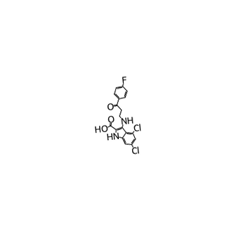 O=C(CCNc1c(C(=O)O)[nH]c2cc(Cl)cc(Cl)c12)c1ccc(F)cc1